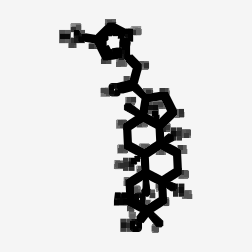 COC[C@]12CC[C@@](C)(O)C[C@H]1CC[C@H]1[C@@H]3CC[C@H](C(=O)Cn4cc(N)cn4)[C@@]3(C)CC[C@@H]12